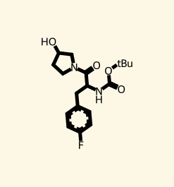 CC(C)(C)OC(=O)NC(Cc1ccc(F)cc1)C(=O)N1CCC(O)C1